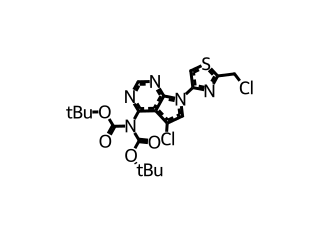 CC(C)(C)OC(=O)N(C(=O)OC(C)(C)C)c1ncnc2c1c(Cl)cn2-c1csc(CCl)n1